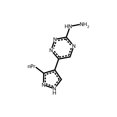 CCCc1n[nH]cc1-c1cnc(NN)nn1